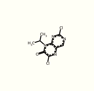 CC(C)n1c(=O)c(Cl)nc2cnc(Cl)nc21